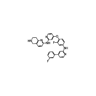 Fc1cccc(-c2ccnc(Nc3ccc(Oc4ccnc(Nc5ccc6c(n5)CCNC6)c4)c(F)c3)c2)c1